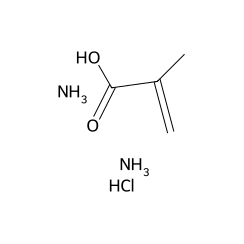 C=C(C)C(=O)O.Cl.N.N